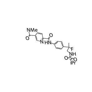 CNC(=O)c1ccc(C(=O)Nc2ccc(C(C)(F)CNS(=O)(=O)C(C)C)cc2)nc1